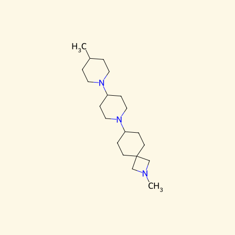 CC1CCN(C2CCN(C3CCC4(CC3)CN(C)C4)CC2)CC1